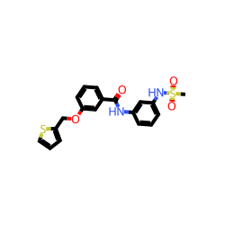 CS(=O)(=O)Nc1cccc(NC(=O)c2cccc(OCc3cccs3)c2)c1